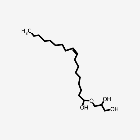 CCCCCCCC/C=C\CCCCCCCC(O)OCC(O)CO